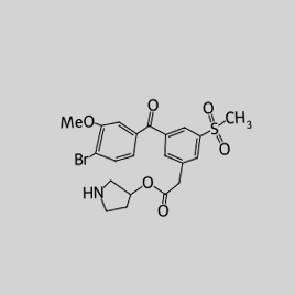 COc1cc(C(=O)c2cc(CC(=O)OC3CCNC3)cc(S(C)(=O)=O)c2)ccc1Br